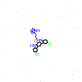 Clc1ccc2[nH]c3c(OCCCc4nnn[nH]4)c4[nH]c5ccc(Cl)cc5c4cc3c2c1